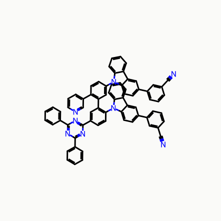 N#Cc1cccc(-c2ccc3c(c2)c2ccccc2n3-c2ccc(-c3cccnc3)c(-c3cc(-c4nc(-c5ccccc5)nc(-c5ccccc5)n4)ccc3-n3c4ccccc4c4cc(-c5cccc(C#N)c5)ccc43)c2)c1